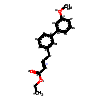 CCOC(=O)/C=C/Cc1cccc(-c2cccc(OC)c2)c1